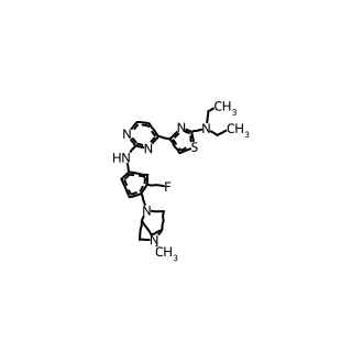 CCN(CC)c1nc(-c2ccnc(Nc3ccc(N4CC5CC4CN5C)c(F)c3)n2)cs1